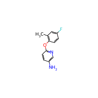 Cc1cc(F)ccc1Oc1ccc(N)cn1